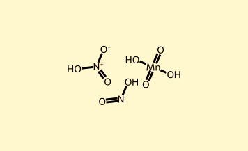 O=NO.O=[N+]([O-])O.[O]=[Mn](=[O])([OH])[OH]